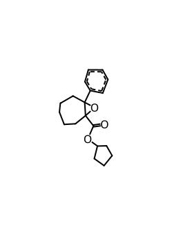 O=C(OC1CCCC1)C12CCCCCC1(c1ccccc1)O2